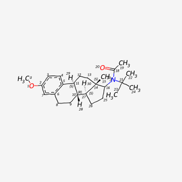 COc1ccc2c(c1)CC[C@@H]1[C@@H]2CC[C@]2(C)C(N(C(C)=O)C(C)(C)C)CC[C@@H]12